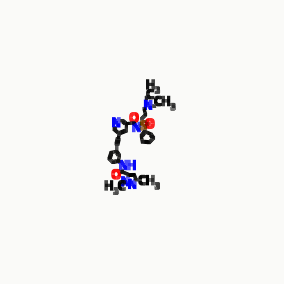 CCN(CC)CCCS(=O)(=NC(=O)c1cncc(C#Cc2cccc(NC(=O)c3cc(C)nn3C)c2)c1)c1ccccc1